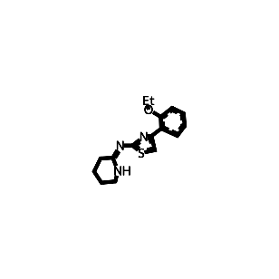 CCOc1ccccc1-c1csc(/N=C2/CCCCN2)n1